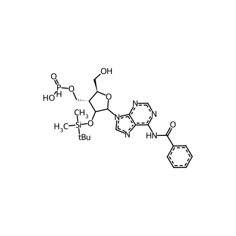 CC(C)(C)[Si](C)(C)OC1C(n2cnc3c(NC(=O)c4ccccc4)ncnc32)O[C@H](CO)[C@H]1CO[PH](=O)O